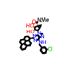 CNC(=O)[C@]12CC1[C@@H](n1cnc3c(NCc4cccc(Cl)c4)nc(-c4ccc5ccc6cccc7ccc4c5c67)nc31)[C@H](O)[C@@H]2O